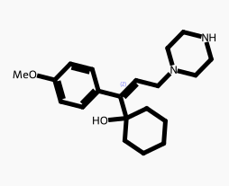 COc1ccc(/C(=C/CN2CCNCC2)C2(O)CCCCC2)cc1